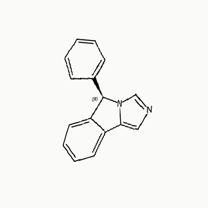 c1ccc([C@@H]2c3ccccc3-c3cncn32)cc1